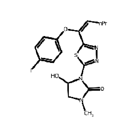 CCCC=C(Oc1ccc(I)cc1)c1nnc(N2C(=O)N(C)CC2O)s1